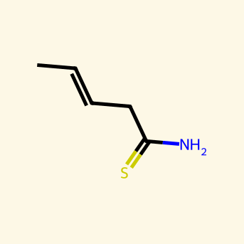 CC=CCC(N)=S